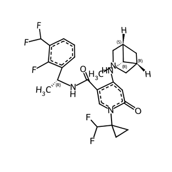 C[C@@H](NC(=O)c1cn(C2(C(F)F)CC2)c(=O)cc1N[C@H]1[C@@H]2C[C@H]1CN(C)C2)c1cccc(C(F)F)c1F